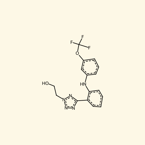 OCCn1nnc(-c2ccccc2Nc2cccc(OC(F)(F)F)c2)n1